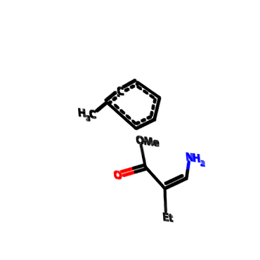 CCC(=CN)C(=O)OC.Cc1ccccc1